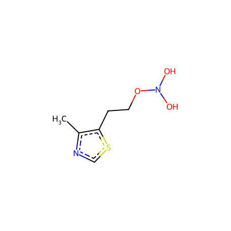 Cc1ncsc1CCON(O)O